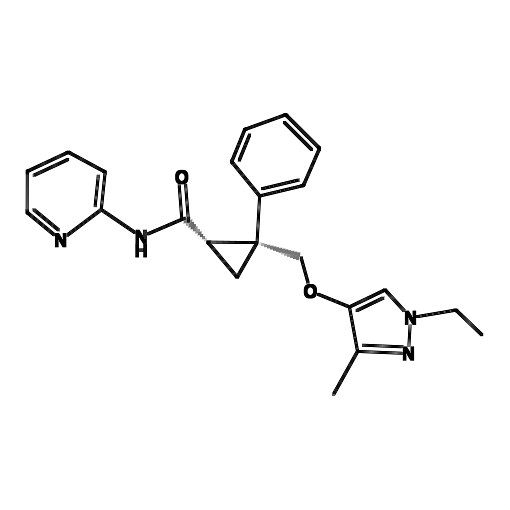 CCn1cc(OC[C@]2(c3ccccc3)C[C@@H]2C(=O)Nc2ccccn2)c(C)n1